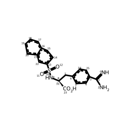 N=C(N)c1ccc(C[C@H](NS(=O)(=O)c2ccc3ccccc3c2)C(=O)O)cc1